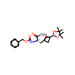 COC(=O)[C@H](CC12CC(B3OC(C)(C)C(C)(C)O3)(C1)C2)NC(=O)OCc1ccccc1